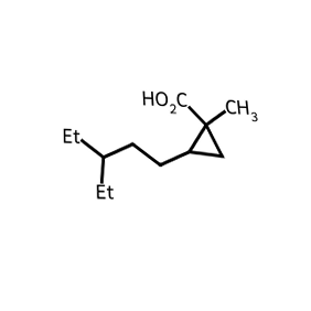 CCC(CC)CCC1CC1(C)C(=O)O